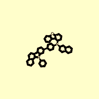 c1ccc(-n2c3cc(-c4ccc(N(c5ccc6ccccc6c5)c5cccc6oc7ccccc7c56)cc4)ccc3c3ccc4ccccc4c32)cc1